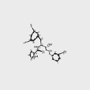 CCc1cccc(CNC[C@@H](O)[C@H](Cc2cc(F)cc(F)c2)NC(=O)c2ccn[nH]2)c1